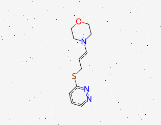 C(=CN1CCOCC1)CSc1cccnn1